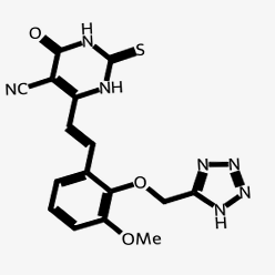 COc1cccc(/C=C/c2[nH]c(=S)[nH]c(=O)c2C#N)c1OCc1nnn[nH]1